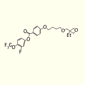 CCC1(COCCCCOc2ccc(C(=O)Oc3ccc(OC(F)(F)F)c(F)c3)cc2)COC1